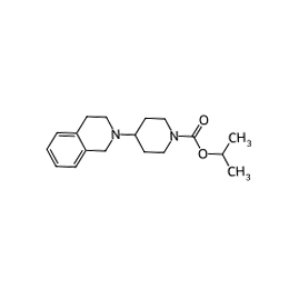 CC(C)OC(=O)N1CCC(N2CCc3ccccc3C2)CC1